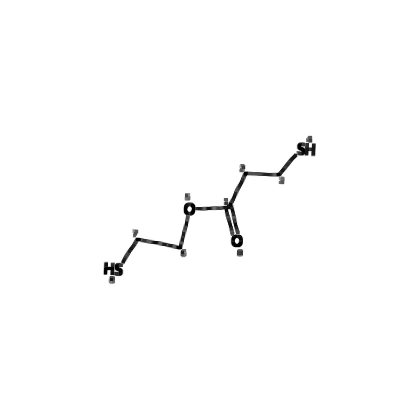 O=C(CCS)OCCS